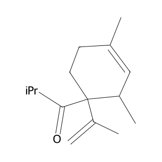 C=C(C)C1(C(=O)C(C)C)CCC(C)=CC1C